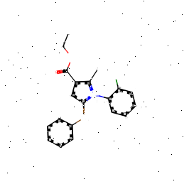 CCOC(=O)c1cc(Sc2ccccc2)n(-c2ccccc2F)c1C